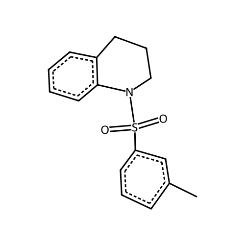 Cc1cccc(S(=O)(=O)N2CCCc3ccccc32)c1